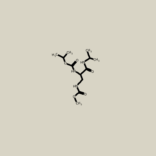 COC(=O)NCC(NC(=O)OC(C)C)C(=O)NC(C)C